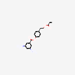 C=CC(=O)OCCc1ccc(OC(=O)c2cc(N)cc(N)c2)cc1